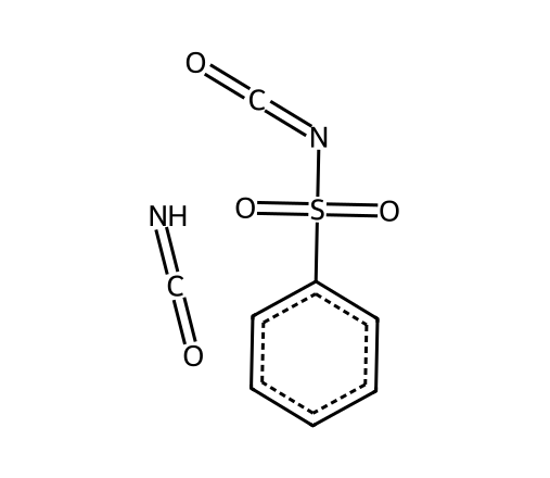 N=C=O.O=C=NS(=O)(=O)c1ccccc1